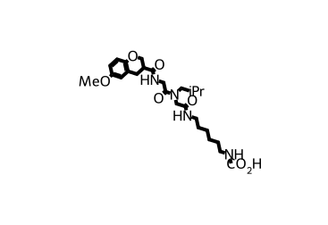 COc1ccc2c(c1)CC(C(=O)NCC(=O)N(CC(=O)NCCCCCCNC(=O)O)CC(C)C)CO2